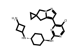 NC1CC(N[C@H]2CC[C@H](Nc3ncc(Cl)c(-c4cnn5c4CC4(CC4)C5)n3)CC2)C1